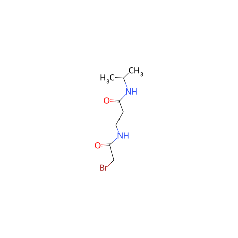 CC(C)NC(=O)CCNC(=O)CBr